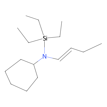 CC/C=C/N(C1CCCCC1)[Si](CC)(CC)CC